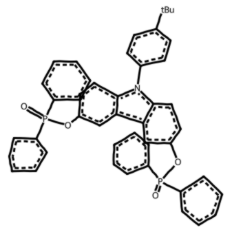 CC(C)(C)c1ccc(-n2c3ccc(OP(=O)(c4ccccc4)c4ccccc4)cc3c3cc(OP(=O)(c4ccccc4)c4ccccc4)ccc32)cc1